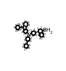 Bc1ccc(-c2ccc(N(c3ccc(-c4ccccc4)cc3)c3ccc4c(c3)C3C=CC=CC3N4c3ccccc3)cc2)c2ccccc12